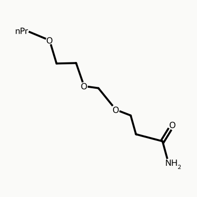 CCCOCCOCOCCC(N)=O